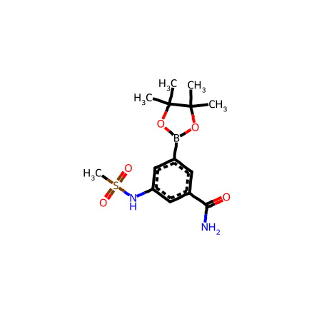 CC1(C)OB(c2cc(NS(C)(=O)=O)cc(C(N)=O)c2)OC1(C)C